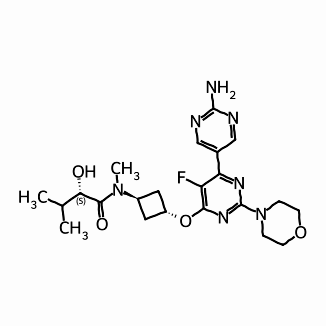 CC(C)[C@H](O)C(=O)N(C)[C@H]1C[C@H](Oc2nc(N3CCOCC3)nc(-c3cnc(N)nc3)c2F)C1